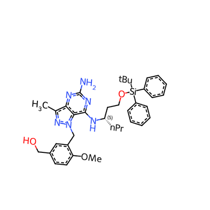 CCC[C@@H](CCO[Si](c1ccccc1)(c1ccccc1)C(C)(C)C)Nc1nc(N)nc2c(C)nn(Cc3cc(CO)ccc3OC)c12